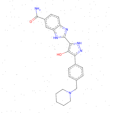 NC(=O)c1ccc2nc(-c3[nH]nc(-c4ccc(CN5CCCCC5)cc4)c3O)[nH]c2c1